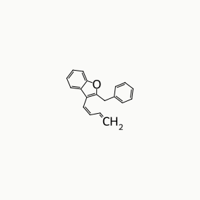 C=C/C=C\c1c(Cc2ccccc2)oc2ccccc12